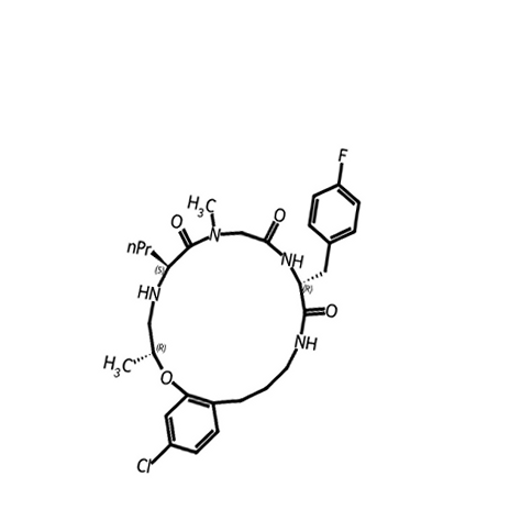 CCC[C@@H]1NC[C@@H](C)Oc2cc(Cl)ccc2CCCNC(=O)[C@@H](Cc2ccc(F)cc2)NC(=O)CN(C)C1=O